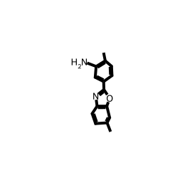 Cc1ccc2nc(-c3ccc(C)c(N)c3)oc2c1